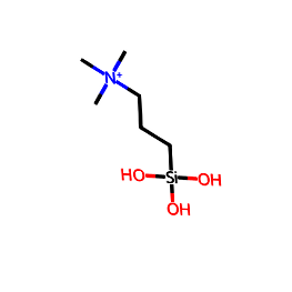 C[N+](C)(C)CCC[Si](O)(O)O